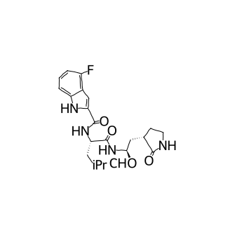 CC(C)C[C@H](NC(=O)c1cc2c(F)cccc2[nH]1)C(=O)N[C@H](C=O)C[C@@H]1CCNC1=O